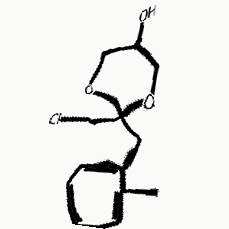 Cc1ccccc1CC1(CCl)OCC(O)CO1